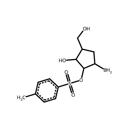 BC1CC(CO)C(O)C1OS(=O)(=O)c1ccc(C)cc1